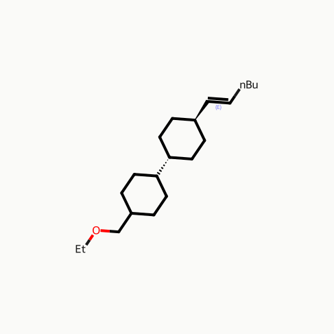 CCCC/C=C/[C@H]1CC[C@H](C2CCC(COCC)CC2)CC1